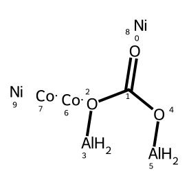 O=C([O][AlH2])[O][AlH2].[Co].[Co].[Ni].[Ni]